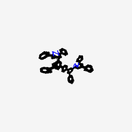 c1ccc(-c2cc(-c3ccc(-c4cc(-c5ccccc5)cc(-c5cc(-c6ccccc6)cc(-c6ccccc6)n5)c4)cc3)cc(-c3cc(-c4ccccc4)nc(-c4ccccc4)c3)c2)cc1